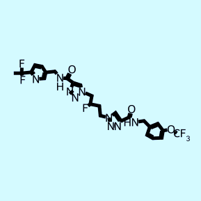 CC(F)(F)c1ccc(CNC(=O)c2cn(CC(F)CCn3cc(C(=O)NCc4cccc(OC(F)(F)F)c4)nn3)nn2)cn1